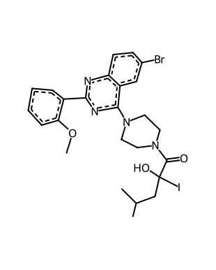 COc1ccccc1-c1nc(N2CCN(C(=O)C(O)(I)CC(C)C)CC2)c2cc(Br)ccc2n1